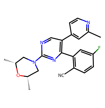 Cc1cc(-c2cnc(N3C[C@@H](C)O[C@@H](C)C3)nc2-c2cc(F)ccc2C#N)ccn1